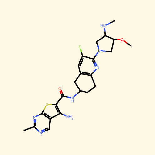 CNC1CN(c2nc3c(cc2F)CC(NC(=O)c2sc4nc(C)ncc4c2N)CC3)CC1OC